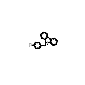 Fc1ccc(Cn2c3ccccc3c3ccccc32)cc1